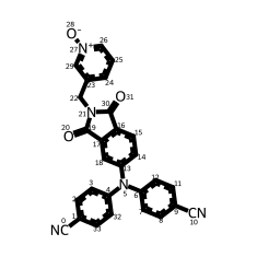 N#Cc1ccc(N(c2ccc(C#N)cc2)c2ccc3c(c2)C(=O)N(Cc2ccc[n+]([O-])c2)C3=O)cc1